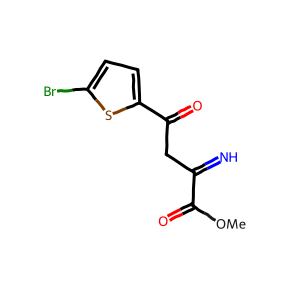 COC(=O)C(=N)CC(=O)c1ccc(Br)s1